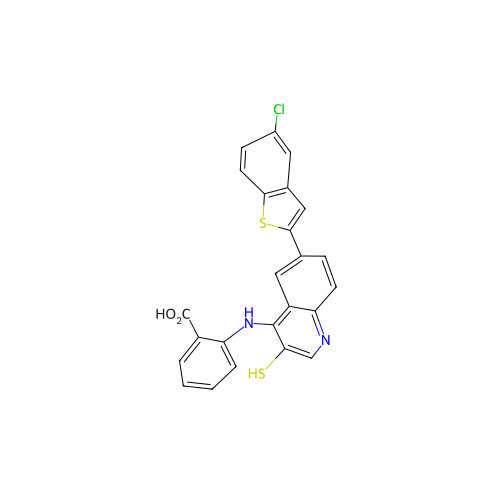 O=C(O)c1ccccc1Nc1c(S)cnc2ccc(-c3cc4cc(Cl)ccc4s3)cc12